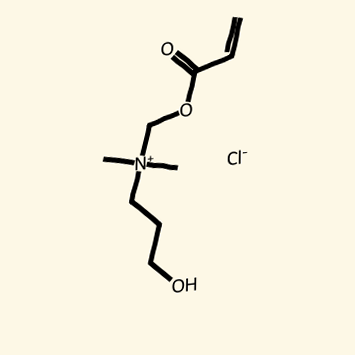 C=CC(=O)OC[N+](C)(C)CCCO.[Cl-]